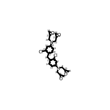 Clc1cc(N(CC2CO2)CC2CO2)ccc1Cc1ccc(N(CC2CO2)CC2CO2)cc1Cl